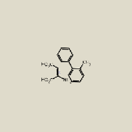 Cc1ccccc1-c1ccccc1.N/C(=C/C(=O)O)C(=O)O